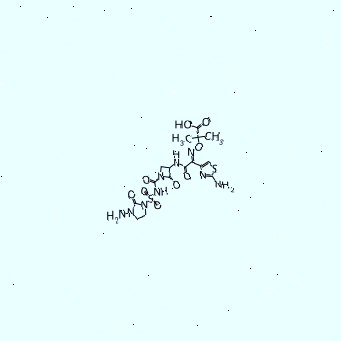 CC(C)(ON=C(C(=O)NC1CN(C(=O)NS(=O)(=O)N2CCN(N)C2=O)C1=O)c1csc(N)n1)C(=O)O